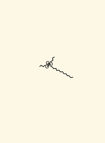 CCCCCCCCCCCCCCP(=O)(OCCCC)OCCCC